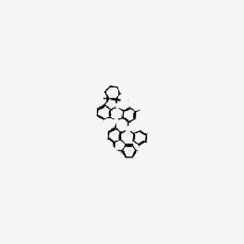 Cc1cc2c3c(c1)N1c4c(cccc4C4(C)CCCCC14C)B3c1ccc3oc4ccccc4c3c1N2c1ccccc1